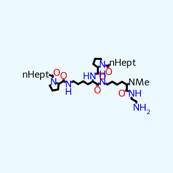 CCCCCCCC(=O)N1CCCC1C(=O)NCCCCC(NC(=O)C1CCCN1C(=O)CCCCCCC)C(=O)NCCCCC(NC)C(=O)NCCN